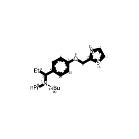 CCCN(C(CC)c1ccc(OCc2nccs2)cc1)[C@@H](C)CC